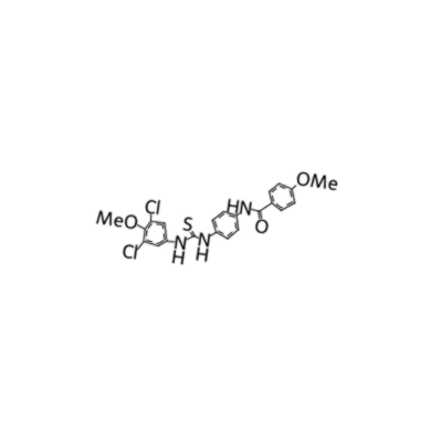 COc1ccc(C(=O)Nc2ccc(NC(=S)Nc3cc(Cl)c(OC)c(Cl)c3)cc2)cc1